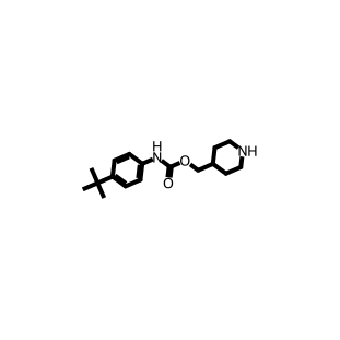 CC(C)(C)c1ccc(NC(=O)OCC2CCNCC2)cc1